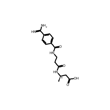 C[C@H](CC(=O)O)NC(=O)CCNC(=O)c1ccc(C(=N)N)cc1